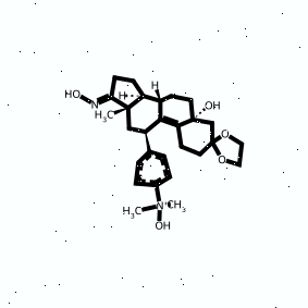 C[C@]12C[C@H](c3ccc([N+](C)(C)O)cc3)C3=C4CCC5(C[C@]4(O)CC[C@H]3[C@@H]1CCC2=NO)OCCO5